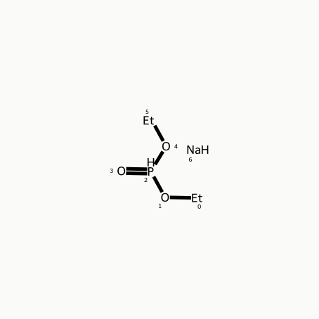 CCO[PH](=O)OCC.[NaH]